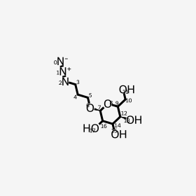 [N-]=[N+]=NCCCO[C@H]1OC(CO)[C@@H](O)C(O)C1O